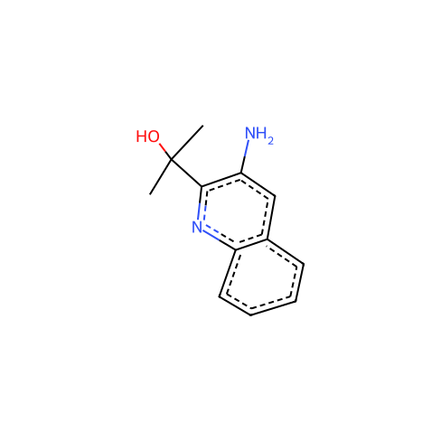 CC(C)(O)c1nc2ccccc2cc1N